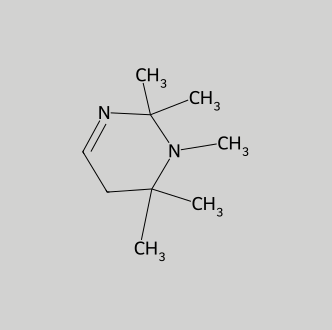 CN1C(C)(C)CC=NC1(C)C